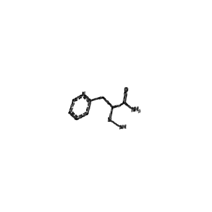 NC(=O)C(Cc1ccccn1)SS